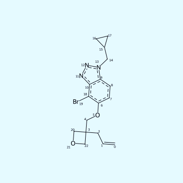 C=CCC1(COc2ccc3c(nnn3CC3CC3)c2Br)COC1